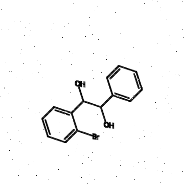 OC(c1ccccc1)C(O)c1ccccc1Br